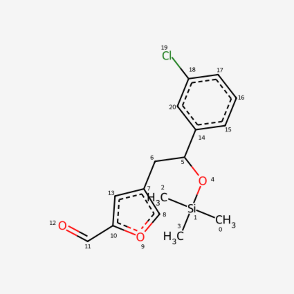 C[Si](C)(C)OC(Cc1coc(C=O)c1)c1cccc(Cl)c1